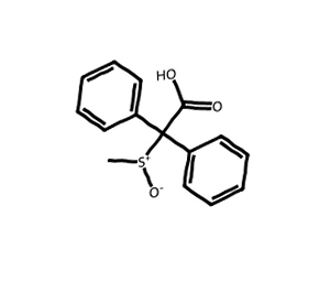 C[S+]([O-])C(C(=O)O)(c1ccccc1)c1ccccc1